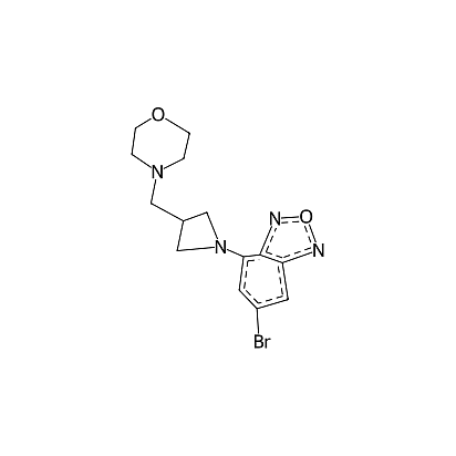 Brc1cc(N2CC(CN3CCOCC3)C2)c2nonc2c1